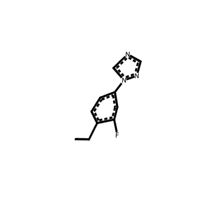 CCc1ccc(-n2cncn2)cc1F